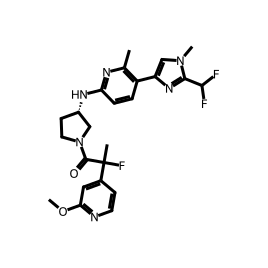 COc1cc(C(C)(F)C(=O)N2CC[C@H](Nc3ccc(-c4cn(C)c(C(F)F)n4)c(C)n3)C2)ccn1